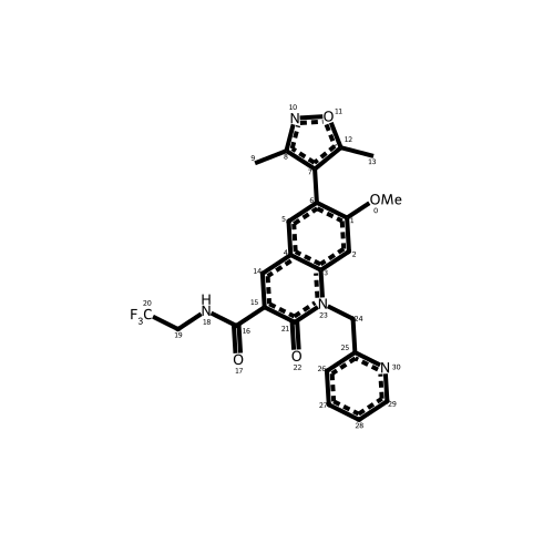 COc1cc2c(cc1-c1c(C)noc1C)cc(C(=O)NCC(F)(F)F)c(=O)n2Cc1ccccn1